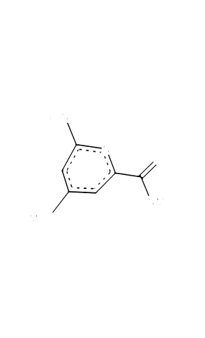 CNC(=O)c1cc(SC)cc(N)n1